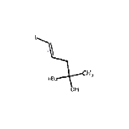 CCCCC(C)(O)C/C=C/I